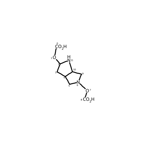 O=C(O)OC1CC2CN(OC(=O)O)CC2N1